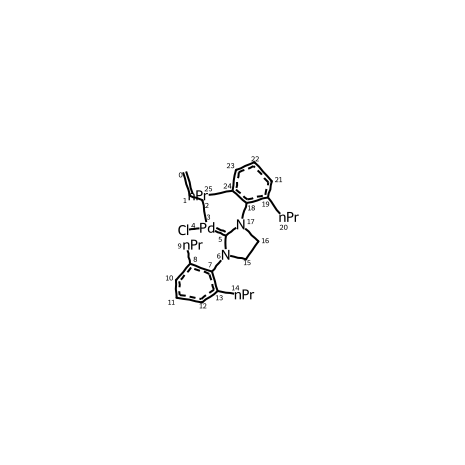 C=C[CH2][Pd]([Cl])=[C]1N(c2c(CCC)cccc2CCC)CCN1c1c(CCC)cccc1CCC